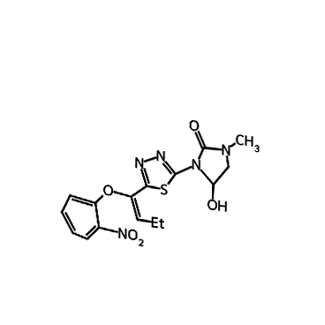 CCC=C(Oc1ccccc1[N+](=O)[O-])c1nnc(N2C(=O)N(C)CC2O)s1